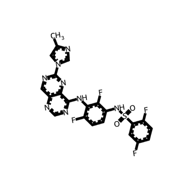 Cc1cn(-c2ncc3ncnc(Nc4c(F)ccc(NS(=O)(=O)c5cc(F)ccc5F)c4F)c3n2)cn1